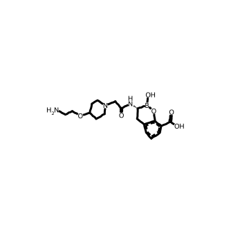 NCCOC1CCN(CC(=O)N[C@H]2Cc3cccc(C(=O)O)c3OB2O)CC1